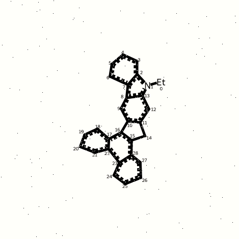 CCn1c2ccccc2c2cc3c(cc21)Cc1c-3c2ccccc2c2ccccc12